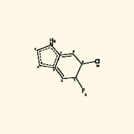 FC1C=c2cc[nH]c2=CC1Cl